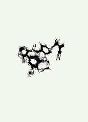 C=C(C#N)C(=O)N1CCC(CNc2ncnc(N)c2-c2cc(OC)c(OC)c(OC)c2)CC1